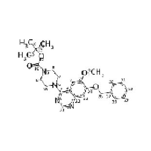 COc1cc2c(N3CCN(C(=O)OC(C)(C)C)CC3)ncnc2cc1OCc1ccccc1